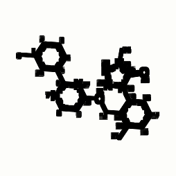 Cc1cccc(-c2nccc(OCc3c(C)cccc3-n3nnn(C)c3=O)n2)c1